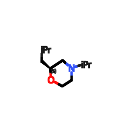 CC(C)C[C@H]1CN(C(C)C)CCO1